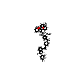 COc1cc(C(=O)N2CCC(C3=CC3c3cccc4c3CN(C3CCC(=O)NC3=O)C4=O)CC2)ccc1NC(=O)[C@@H]1NC2(CCCCC2)[C@@]2(C(=O)Nc3cc(Cl)ccc32)[C@H]1c1cccc(Cl)c1F